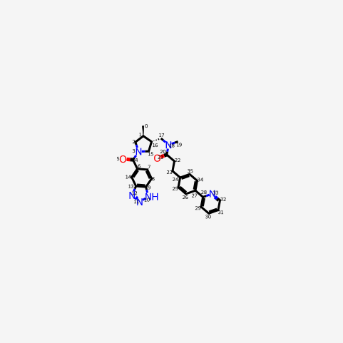 C[C@@H]1CN(C(=O)c2ccc3[nH]nnc3c2)C[C@H]1CN(C)C(=O)CCc1ccc(-c2ccccn2)cc1